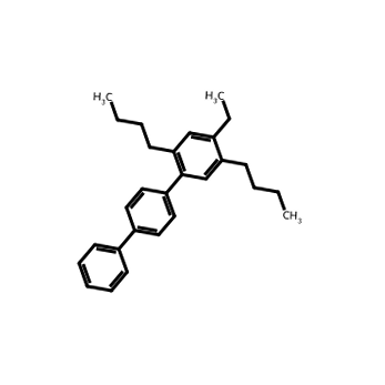 CCCCc1cc(-c2ccc(-c3ccccc3)cc2)c(CCCC)cc1CC